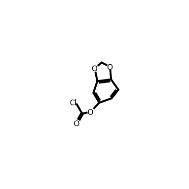 O=C(Cl)Oc1ccc2c(c1)OCO2